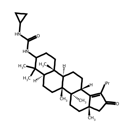 CC(C)C1=C2[C@H]3CC[C@@H]4[C@@]5(C)CCC(NC(=O)NC6CC6)C(C)(C)[C@@H]5CC[C@@]4(C)[C@]3(C)CC[C@@]2(C)CC1=O